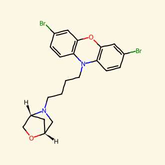 Brc1ccc2c(c1)Oc1cc(Br)ccc1N2CCCCN1C[C@H]2C[C@@H]1CO2